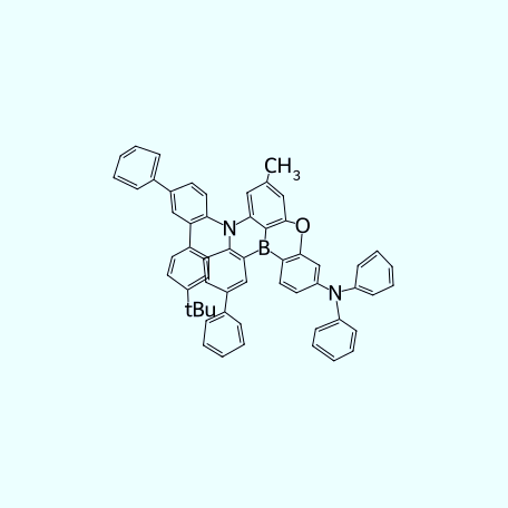 Cc1cc2c3c(c1)N(c1ccc(-c4ccccc4)cc1-c1ccc(C(C)(C)C)cc1)c1ccc(-c4ccccc4)cc1B3c1ccc(N(c3ccccc3)c3ccccc3)cc1O2